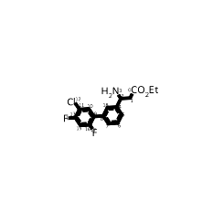 CCOC(=O)CC(N)c1cccc(-c2cc(Cl)c(F)cc2F)c1